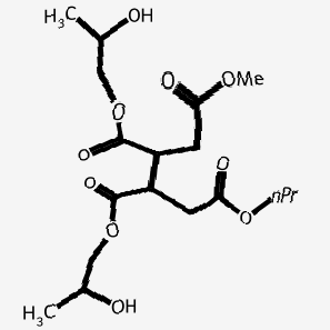 CCCOC(=O)CC(C(=O)OCC(C)O)C(CC(=O)OC)C(=O)OCC(C)O